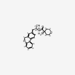 N#C[C@H](Cc1ccc2c(c1)COc1ccccc1-2)NC(=O)C1(N)CCOCC1